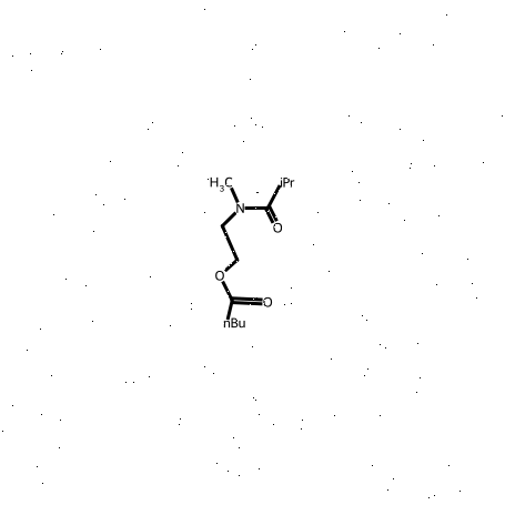 CCCCC(=O)OCCN(C)C(=O)C(C)C